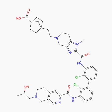 CC(O)CN1CCc2cc(C(=O)Nc3cccc(-c4cccc(NC(=O)c5nc6c(n5C)CCN(CCC57CCC(C(=O)O)(CC5)C7)C6)c4Cl)c3Cl)ncc2C1